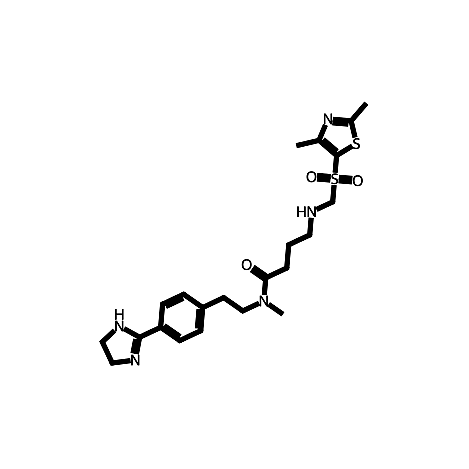 Cc1nc(C)c(S(=O)(=O)CNCCCC(=O)N(C)CCc2ccc(C3=NCCN3)cc2)s1